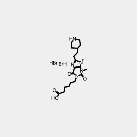 Br.Br.Cn1c(CCC2CCNCC2)nc2c(=O)n(CCCCCC(=O)O)c(=O)n(C)c21